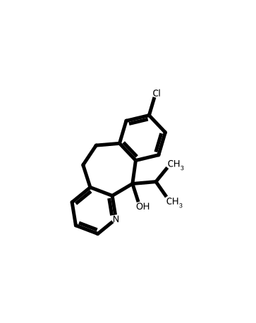 CC(C)C1(O)c2ccc(Cl)cc2CCc2cccnc21